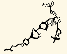 CC(C)CCCOc1ccc(-c2cnc(-c3ccc(C[C@H](NC(=O)c4ccn(C(C)(C)C)c4)C(=O)N4CC(C(=O)O)C4)cc3)nc2)cc1